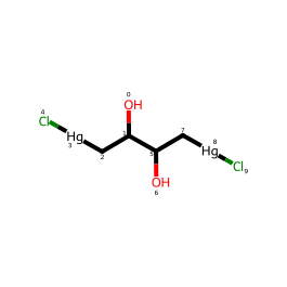 OC([CH2][Hg][Cl])C(O)[CH2][Hg][Cl]